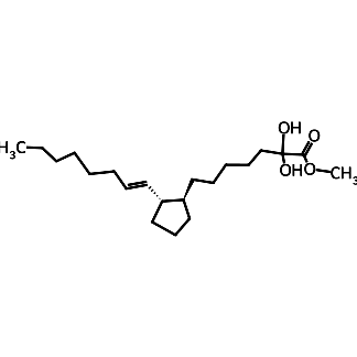 CCCCCCC=C[C@H]1CCC[C@@H]1CCCCCC(O)(O)C(=O)OC